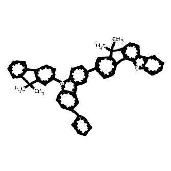 CC1(C)c2ccccc2-c2ccc(-n3c4ccc(-c5ccccc5)cc4c4cc(-c5ccc6c(c5)C(C)(C)c5ccc7c(oc8ccccc87)c5-6)ccc43)cc21